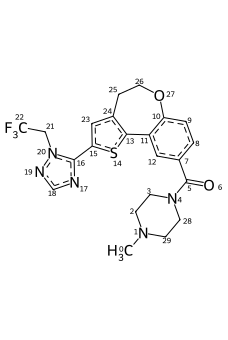 CN1CCN(C(=O)c2ccc3c(c2)-c2sc(-c4ncnn4CC(F)(F)F)cc2CCO3)CC1